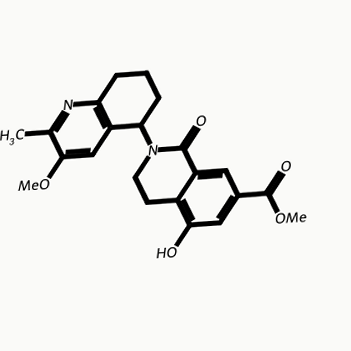 COC(=O)c1cc(O)c2c(c1)C(=O)N(C1CCCc3nc(C)c(OC)cc31)CC2